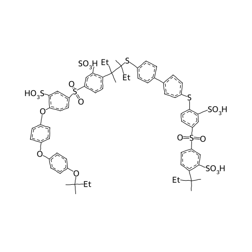 CCC(C)(C)Oc1ccc(Oc2ccc(Oc3ccc(S(=O)(=O)c4ccc(C(C)(CC)C(C)(CC)Sc5ccc(-c6ccc(Sc7ccc(S(=O)(=O)c8ccc(C(C)(C)CC)c(S(=O)(=O)O)c8)cc7S(=O)(=O)O)cc6)cc5)c(S(=O)(=O)O)c4)cc3S(=O)(=O)O)cc2)cc1